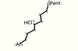 CCCCCCCCCCC[CH2][Al].Cl